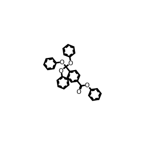 O=C(Oc1ccccc1)c1ccc(C(Oc2ccccc2)(Oc2ccccc2)Oc2ccccc2)cc1